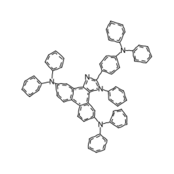 c1ccc(N(c2ccccc2)c2ccc(-c3nc4c5cc(N(c6ccccc6)c6ccccc6)ccc5c5ccc(N(c6ccccc6)c6ccccc6)cc5c4n3-c3ccccc3)cc2)cc1